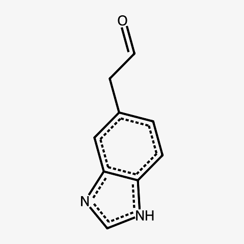 O=CCc1ccc2[nH]cnc2c1